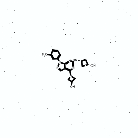 OC1CN(c2nc(N[C@H]3C[C@@H](O)C3)nc3c2cnn3-c2cccc(C(F)(F)F)c2)C1